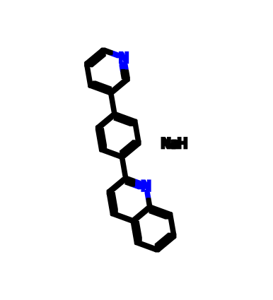 [NaH].c1cncc(-c2ccc(-c3ccc4ccccc4n3)cc2)c1